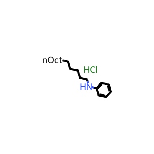 CCCCCCCCCCCCCNc1ccccc1.Cl